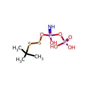 CC(C)(C)SSOP(=N)(O)OP(=O)(O)O